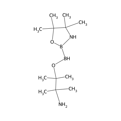 CC(C)(N)C(C)(C)OBB1NC(C)(C)C(C)(C)O1